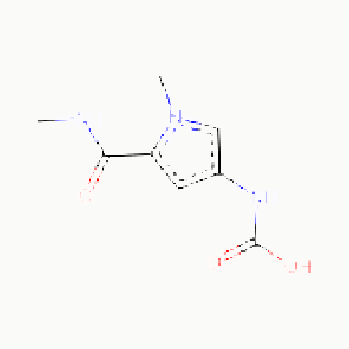 CNC(=O)c1cc(NC(=O)O)cn1C